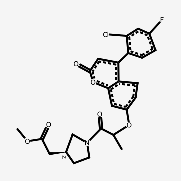 COC(=O)C[C@@H]1CCN(C(=O)C(C)Oc2ccc3c(-c4ccc(F)cc4Cl)cc(=O)oc3c2)C1